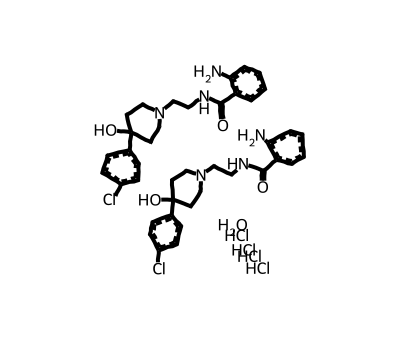 Cl.Cl.Cl.Cl.Nc1ccccc1C(=O)NCCN1CCC(O)(c2ccc(Cl)cc2)CC1.Nc1ccccc1C(=O)NCCN1CCC(O)(c2ccc(Cl)cc2)CC1.O